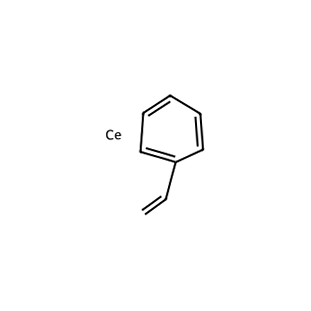 C=Cc1ccccc1.[Ce]